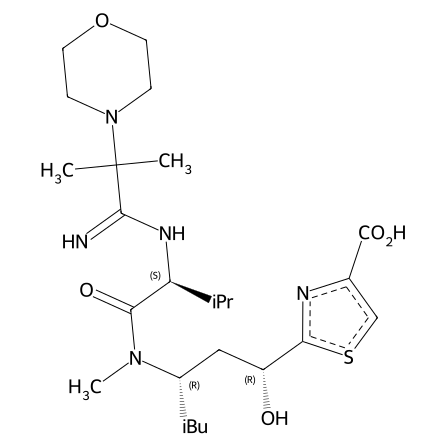 CCC(C)[C@@H](C[C@@H](O)c1nc(C(=O)O)cs1)N(C)C(=O)[C@@H](NC(=N)C(C)(C)N1CCOCC1)C(C)C